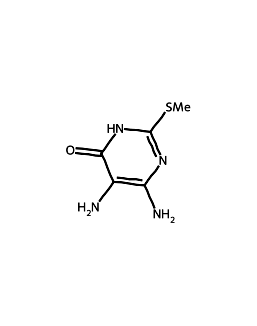 CSc1nc(N)c(N)c(=O)[nH]1